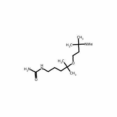 CNC(C)(C)CCOC(C)(C)CCCNC(N)=O